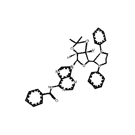 CC1(C)O[C@@H]2[C@H](O1)C(C1N(c3ccccc3)CCN1c1ccccc1)O[C@H]2n1cnc2c(NC(=O)c3ccccc3)ncnc21